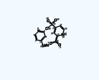 CSc1ccncc1.O=S(=O)=c1cc(S(=O)(=O)Cl)cc[nH]1